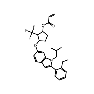 C=CC(=O)OC1CCC(Oc2ccc3cc(-c4ccccc4CC)n(CC(C)C)c3c2)C1C(F)(F)F